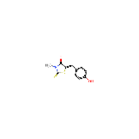 CN1C(=O)/C(=C/c2ccc(O)cc2)SC1=S